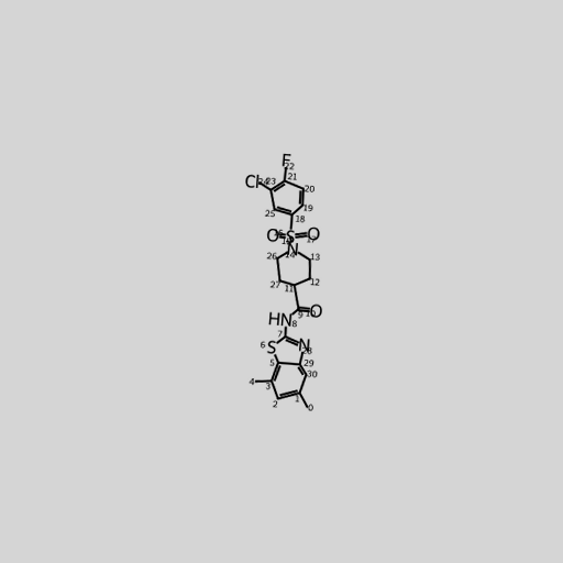 Cc1cc(C)c2sc(NC(=O)C3CCN(S(=O)(=O)c4ccc(F)c(Cl)c4)CC3)nc2c1